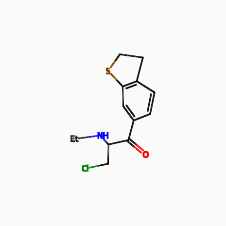 CCNC(CCl)C(=O)c1ccc2c(c1)SCC2